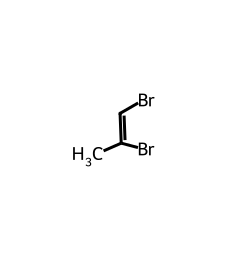 C/C(Br)=C/Br